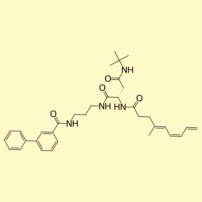 C=C/C=C\C=C(/C)CCC(=O)N[C@@H](CC(=O)NC(C)(C)C)C(=O)NCCCNC(=O)c1cccc(-c2ccccc2)c1